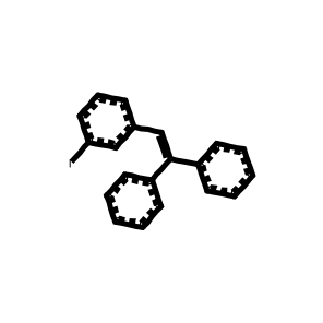 Ic1cccc(C=C(c2ccccc2)c2ccccc2)c1